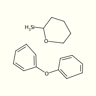 [SiH3]C1CCCCO1.c1ccc(Oc2ccccc2)cc1